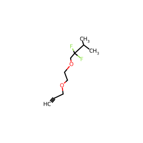 C#CCOCCOCC(F)(F)C(C)C